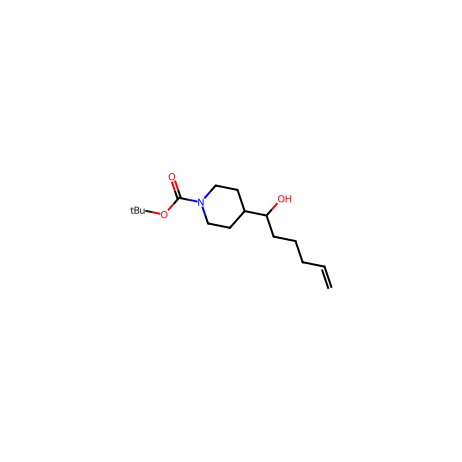 C=CCCCC(O)C1CCN(C(=O)OC(C)(C)C)CC1